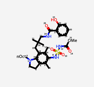 CCCCCCCCN1CCc2c(C)c(NS(=O)(=O)NC(=O)OC)c(C)c(CC(C)(C)CNC(=O)c3ccccc3O)c21